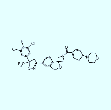 O=C(C1=CCC(N2CCOCC2)C=C1)N1CC2(C1)OCc1cc(C3=NSC(c4cc(Cl)c(F)c(Cl)c4)(C(F)(F)F)C3)ccc12